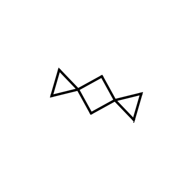 [CH]1CC12CC1(CC1)C2